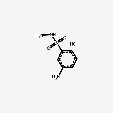 Cl.NNS(=O)(=O)c1cccc([N+](=O)[O-])c1